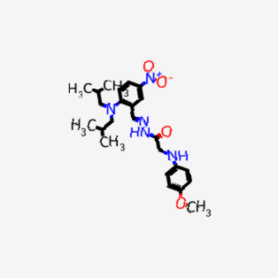 COc1ccc(NCC(=O)NN=Cc2cc([N+](=O)[O-])ccc2N(CC(C)C)CC(C)C)cc1